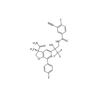 C[C@]1(C(N)=O)COc2c1cc(C(O)(CNC(=O)c1ccc(F)c(C#N)c1)C(F)(F)F)nc2-c1ccc(F)cc1